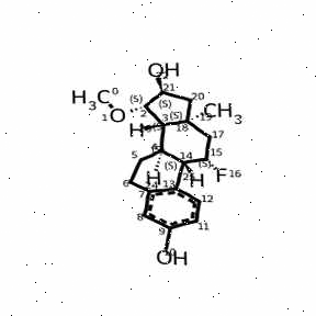 CO[C@H]1[C@H]2[C@@H]3CCc4cc(O)ccc4[C@H]3[C@@H](F)C[C@]2(C)C[C@@H]1O